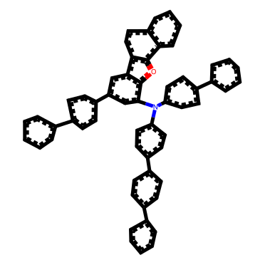 c1ccc(-c2ccc(-c3ccc(N(c4ccc(-c5ccccc5)cc4)c4cc(-c5ccc(-c6ccccc6)cc5)cc5c4oc4c6ccccc6ccc54)cc3)cc2)cc1